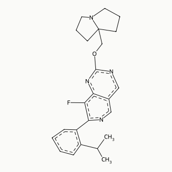 CC(C)c1ccccc1-c1ncc2cnc(OCC34CCCN3CCC4)nc2c1F